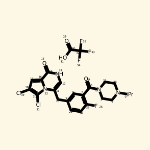 CC(C)N1CCN(C(=O)c2cc(Cc3c[nH]c(=O)c4cc(Cl)c(Cl)n34)ccc2F)CC1.O=C(O)C(F)(F)F